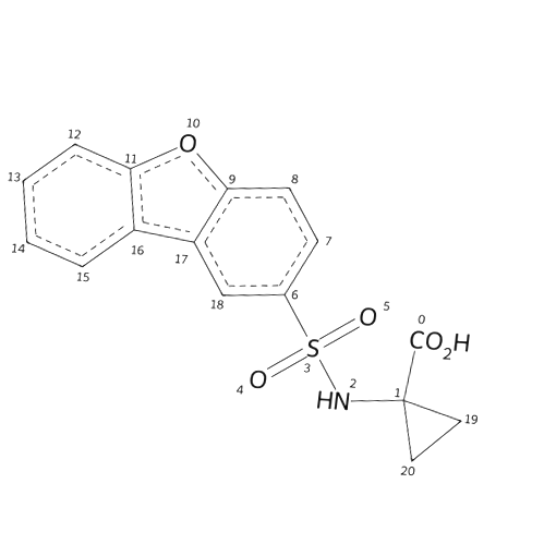 O=C(O)C1(NS(=O)(=O)c2ccc3oc4ccccc4c3c2)CC1